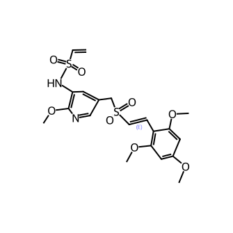 C=CS(=O)(=O)Nc1cc(CS(=O)(=O)/C=C/c2c(OC)cc(OC)cc2OC)cnc1OC